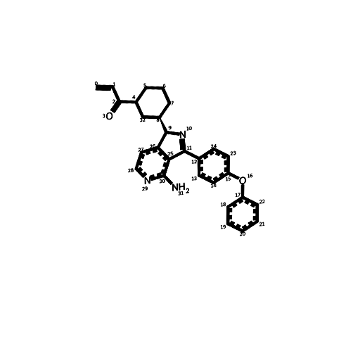 C=CC(=O)C1CCC[C@@H](C2N=C(c3ccc(Oc4ccccc4)cc3)c3c2ccnc3N)C1